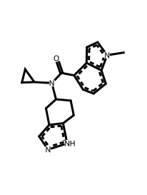 Cn1ccc2c(C(=O)N(C3CC3)C3CCc4[nH]ncc4C3)cccc21